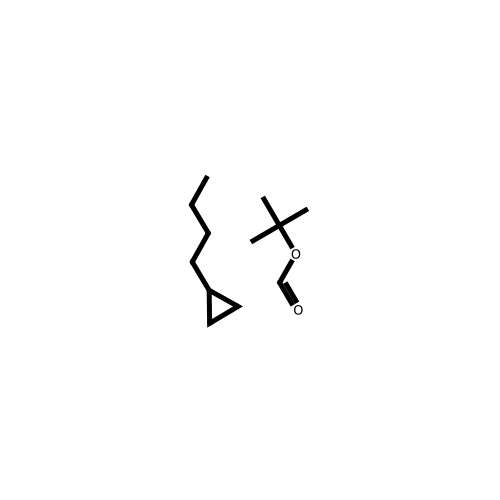 CC(C)(C)OC=O.CCCCC1CC1